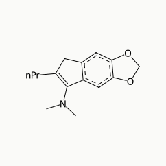 CCCC1=C(N(C)C)c2cc3c(cc2C1)OCO3